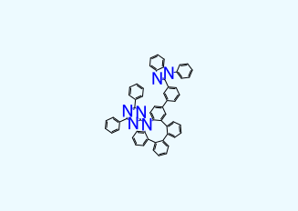 c1ccc(-c2nc(-c3ccccc3)nc(-n3c4ccccc4c4ccccc4c4ccccc4c4cc(-c5cccc(-c6nc7ccccc7n6-c6ccccc6)c5)ccc43)n2)cc1